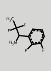 CC(F)(F)C(N)c1cccc(F)c1F